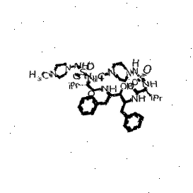 CC(C)[C@H](NS(=O)(=O)NN1CCN(C)CC1)C(=O)NC(Cc1ccccc1)C(O)C(Cc1ccccc1)NC(=O)[C@@H](NS(=O)(=O)NN1CCN(C)CC1)C(C)C